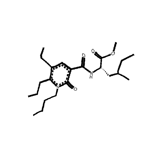 CCCCn1c(CCC)c(CC)cc(C(=O)N[C@@H](CC(C)CC)C(=O)OC)c1=O